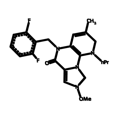 CCCN1CC(C)=CC2=C1N1CN(OC)C=C1C(=O)N2Cc1c(F)cccc1F